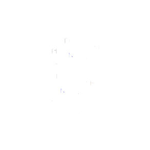 CCN(CC)C(=S)S.CCN(CC)C(=S)S.[Pb]